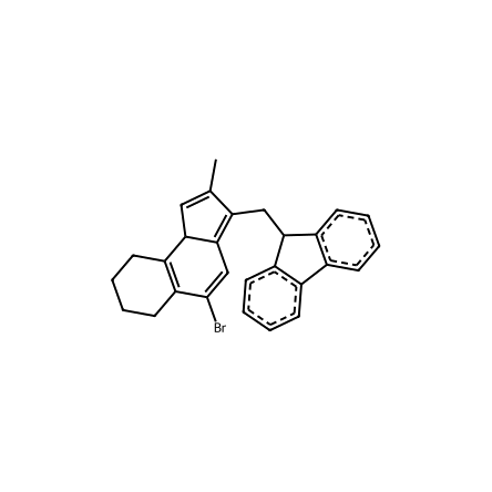 CC1=CC2C(=C1CC1c3ccccc3-c3ccccc31)C=C(Br)C1=C2CCCC1